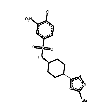 CC(C)(C)c1nnc([C@H]2CC[C@H](NS(=O)(=O)c3ccc(Cl)c([N+](=O)[O-])c3)CC2)o1